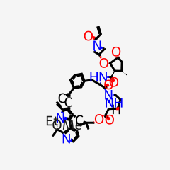 C=CC(=O)N1CC(O[C@@H]2C(=O)C[C@H](C)[C@H]2C(=O)N[C@H]2Cc3cccc(c3)-c3ccc4c(c3)c(c(-c3cccnc3[C@H](C)OC)n4CC)CC(C)(C)COC(=O)[C@@H]3CCCN(N3)C2=O)C1